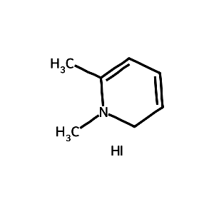 CC1=CC=CCN1C.I